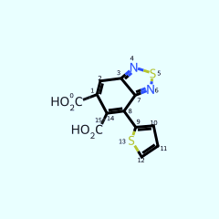 O=C(O)c1cc2nsnc2c(-c2cccs2)c1C(=O)O